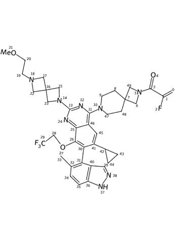 C=C(F)C(=O)N1CC2(CCN(c3nc(N4CC5(CN(CCOC)C5)C4)nc4c(OCC(F)(F)F)c(-c5c(C)ccc6[nH]ncc56)c(C5CC5)cc34)CC2)C1